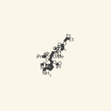 CCC(CC)COC(=O)[C@H](C)NP(=O)(O)OC[C@@](C#N)(OC)[C@@H](OC(=O)C(C)C)[C@@H](OC(=O)C(C)C)c1ccc2c(N)ncnn12